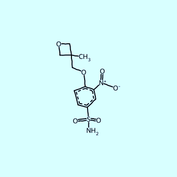 CC1(COc2ccc(S(N)(=O)=O)cc2[N+](=O)[O-])COC1